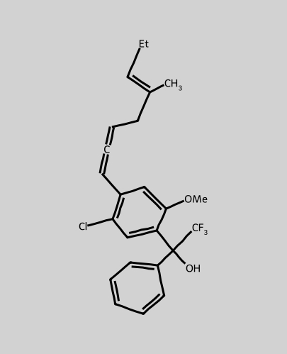 CC/C=C(\C)CC=C=Cc1cc(OC)c(C(O)(c2ccccc2)C(F)(F)F)cc1Cl